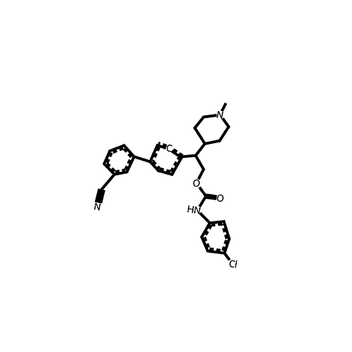 CN1CCC(C(COC(=O)Nc2ccc(Cl)cc2)c2ccc(-c3cccc(C#N)c3)cc2)CC1